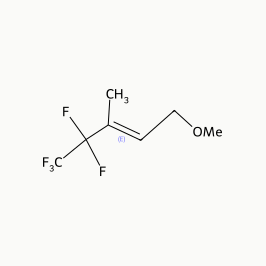 [CH2]OC/C=C(\C)C(F)(F)C(F)(F)F